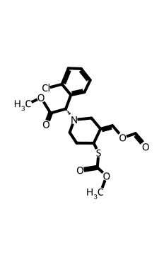 COC(=O)SC1CCN([C@H](C(=O)OC)c2ccccc2Cl)C/C1=C/OC=O